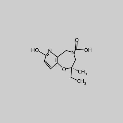 CC[C@]1(C)CN(C(=O)O)Cc2nc(O)ccc2O1